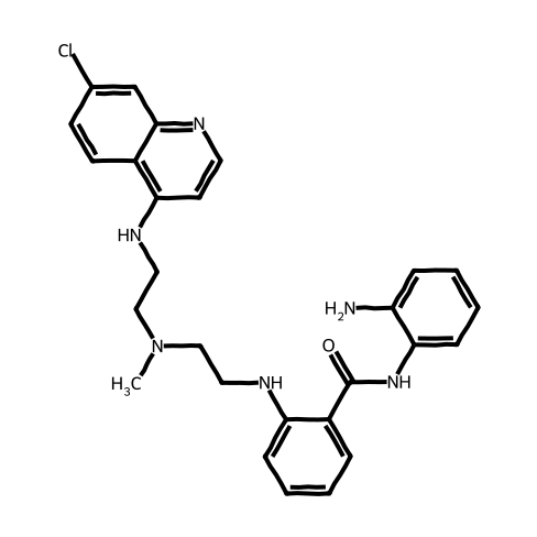 CN(CCNc1ccccc1C(=O)Nc1ccccc1N)CCNc1ccnc2cc(Cl)ccc12